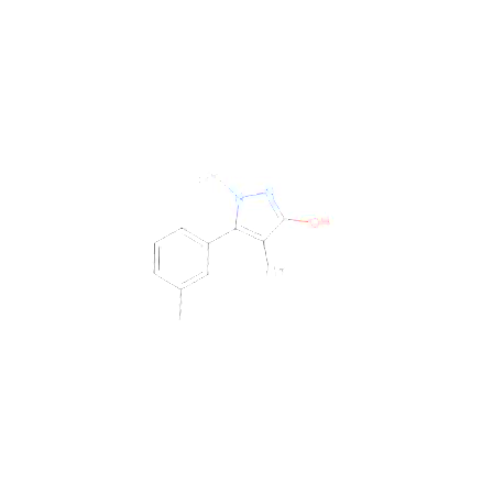 CCCc1c(O)nn(CCC)c1-c1cccc(C)c1